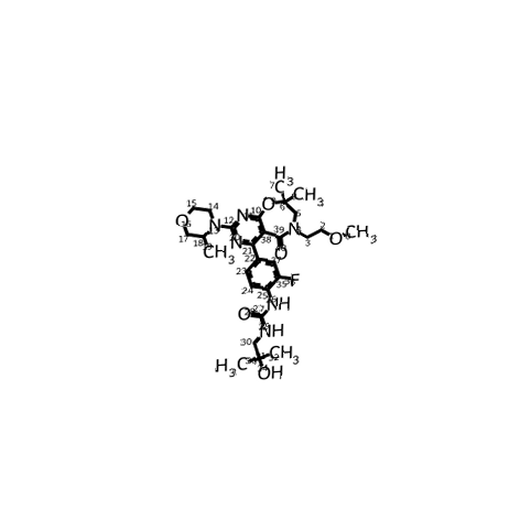 COCCN1CC(C)(C)Oc2nc(N3CCOCC3C)nc(-c3ccc(NC(=O)NCC(C)(C)O)c(F)c3)c2C1=O